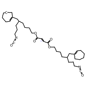 O=C=NCCCC(CCCCOC(=O)/C=C/C(=O)OCCCCC(CCCN=C=O)CC1=CCCCCC1)CC1=CCCCCC1